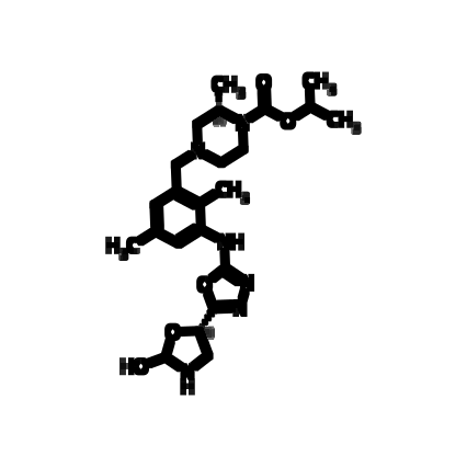 Cc1cc(CN2CCN(C(=O)OC(C)C)[C@@H](C)C2)c(C)c(Nc2nnc([C@@H]3CNC(O)O3)o2)c1